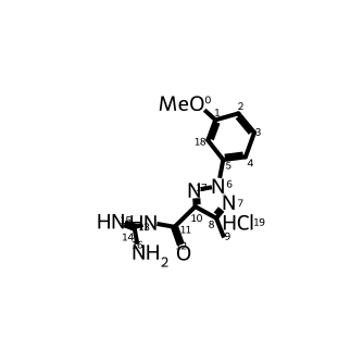 COc1cccc(-n2nc(C)c(C(=O)NC(=N)N)n2)c1.Cl